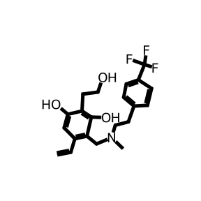 C=Cc1cc(O)c(CCO)c(O)c1CN(C)CCc1ccc(C(F)(F)F)cc1